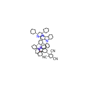 N#Cc1cc(C#N)c(-c2ccc3c(c2)c2ccccc2n3-c2c(-c3ccccc3-n3c4ccccc4c4ccccc43)cc(-c3nc(-c4ccccc4)cc(-c4ccccc4)n3)cc2-c2ccccc2-n2c3ccccc3c3ccccc32)c(C#N)c1